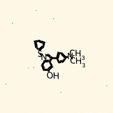 CN(C)c1ccc(-c2cn(Sc3ccccc3)c3ccc(O)cc23)cc1